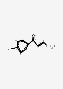 O=C(O)/C=C/C(=O)c1ccc(F)cc1